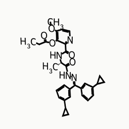 CCC(=O)Oc1c(OC)ccnc1C(=O)N[C@@H](C)C(=O)NN=C(c1cccc(C2CC2)c1)c1cccc(C2CC2)c1